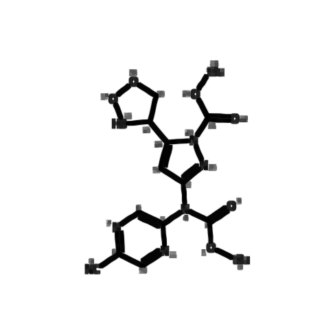 CC(C)(C)OC(=O)N(c1cnc(C#N)cn1)c1cc(C2BOOC2)n(C(=O)OC(C)(C)C)n1